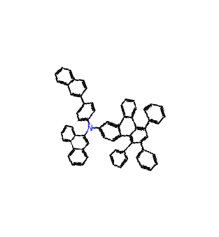 c1ccc(-c2cc(-c3ccccc3)c3c4ccccc4c4cc(N(c5ccc(-c6ccc7ccccc7c6)cc5)c5cc6ccccc6c6ccccc56)ccc4c3c2-c2ccccc2)cc1